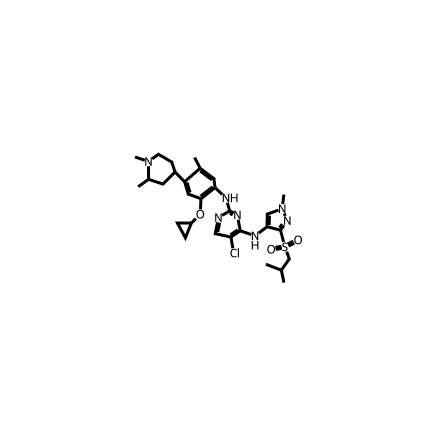 Cc1cc(Nc2ncc(Cl)c(Nc3cn(C)nc3S(=O)(=O)CC(C)C)n2)c(OC2CC2)cc1C1CCN(C)C(C)C1